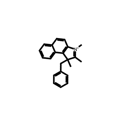 CC1=[N+](C)c2ccc3ccccc3c2C1(C)Cc1ccccc1